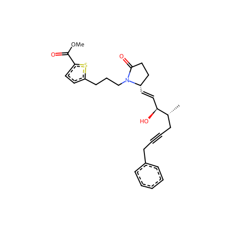 COC(=O)c1ccc(CCCN2C(=O)CC[C@@H]2C=C[C@H](O)[C@H](C)CC#CCc2ccccc2)s1